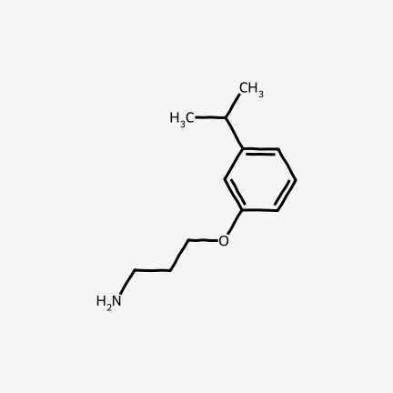 CC(C)c1cccc(OCCCN)c1